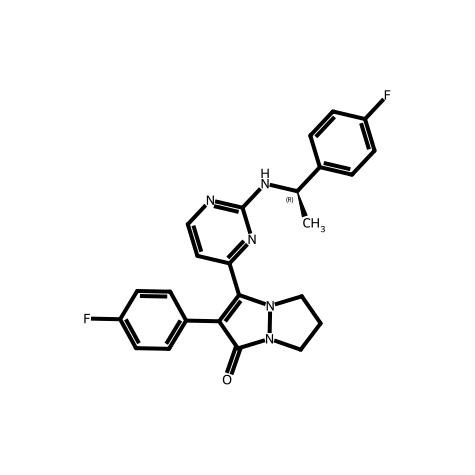 C[C@@H](Nc1nccc(-c2c(-c3ccc(F)cc3)c(=O)n3n2CCC3)n1)c1ccc(F)cc1